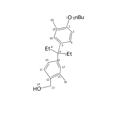 CCCCOc1ccc(C(CC)(CC)c2ccc(CO)c(C)c2)cc1C